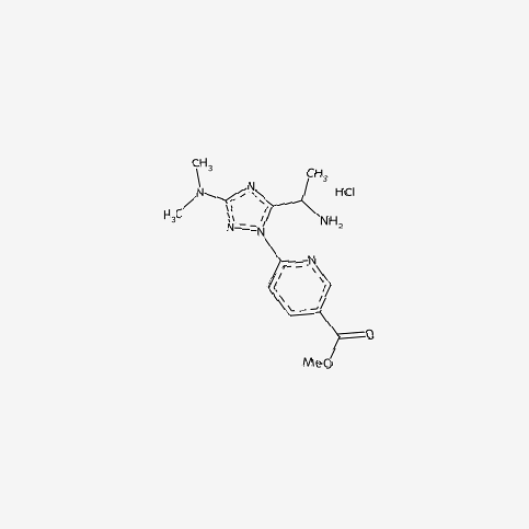 COC(=O)c1ccc(-n2nc(N(C)C)nc2C(C)N)nc1.Cl